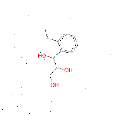 CCc1ccccc1C(O)C(O)CO